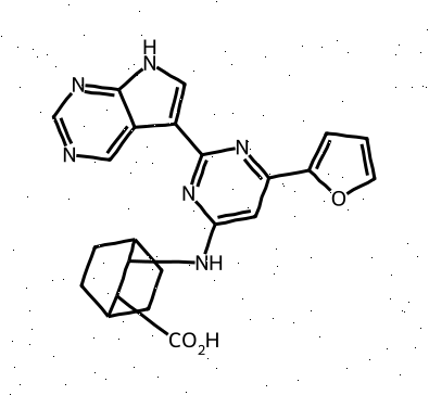 O=C(O)C1C2CCC(CC2)C1Nc1cc(-c2ccco2)nc(-c2c[nH]c3ncncc23)n1